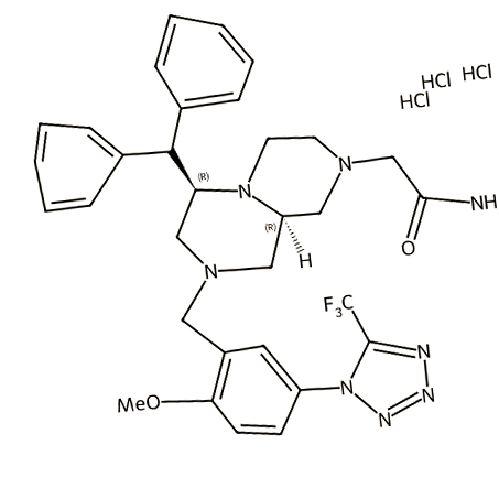 COc1ccc(-n2nnnc2C(F)(F)F)cc1CN1C[C@@H]2CN(CC(N)=O)CCN2[C@H](C(c2ccccc2)c2ccccc2)C1.Cl.Cl.Cl